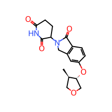 C[C@@H]1COC[C@H]1Oc1ccc2c(c1)CN(C1CCC(=O)NC1=O)C2=O